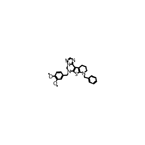 COc1ccc(CN2Cn3ncnc3-c3c2sc2c3CCCN2Cc2ccccc2)cc1OC